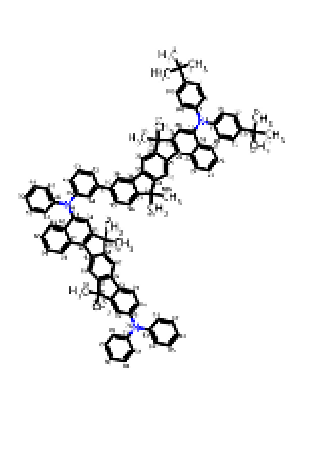 CC(C)(C)c1ccc(N(c2ccc(C(C)(C)C)cc2)c2cc3c(c4ccccc24)-c2cc4c(cc2C3(C)C)-c2cc(-c3cccc(N(c5ccccc5)c5cc6c(c7ccccc57)-c5cc7c(cc5C6(C)C)-c5ccc(N(c6ccccc6)c6ccccc6)cc5C7(C)C)c3)ccc2C4(C)C)cc1